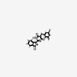 Fc1cc(F)c2c(c1)Cc1c(nc(-c3n[nH]c4ccccc34)[nH]c1=S)O2